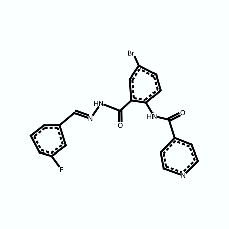 O=C(Nc1ccc(Br)cc1C(=O)N/N=C/c1cccc(F)c1)c1ccncc1